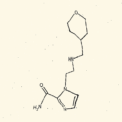 NC(=O)c1n[c]cn1CCNCC1CCOCC1